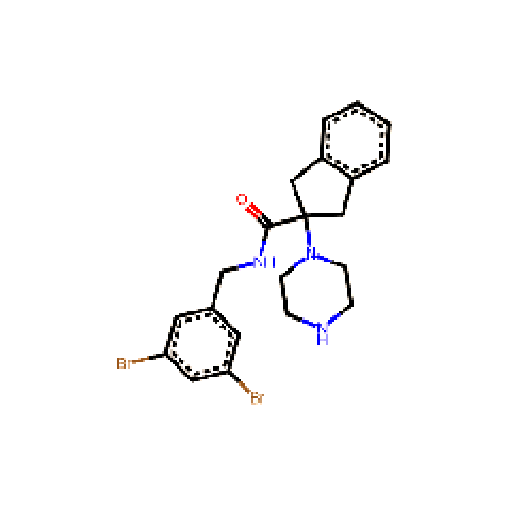 O=C(NCc1cc(Br)cc(Br)c1)C1(N2CCNCC2)Cc2ccccc2C1